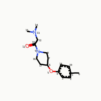 Cc1ccc(OC2CCN(C(=O)CN(C)C)CC2)cc1